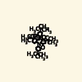 CC(C)(C)c1ccc2c(c1)oc1cc(C(C)(C)C)c3oc4cc(C(C)(C)C)cc5oc6c(C(C)(C)C)ccc7c6p(c54)c3c1n27